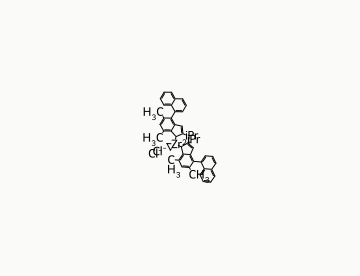 Cc1cc(C)c2c(c1-c1cccc3ccccc13)C=C(C(C)C)[CH]2[Zr+2]1([CH]2C(C(C)C)=Cc3c(-c4cccc5ccccc45)c(C)cc(C)c32)[CH2][CH2]1.[Cl-].[Cl-]